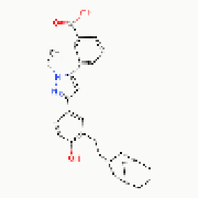 CCn1nc(-c2ccc(O)c(CCC3CC4CCCC(C4)C3)c2)cc1-c1cccc(C(=O)O)c1